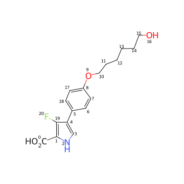 O=C(O)c1[nH]cc(-c2ccc(OCCCCCCO)cc2)c1F